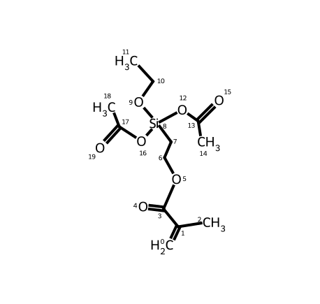 C=C(C)C(=O)OCC[Si](OCC)(OC(C)=O)OC(C)=O